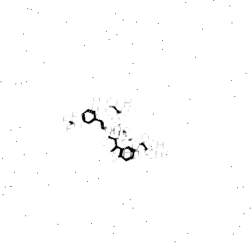 CC(C)(C)C(=O)OCOP(=O)(OCOC(=O)C(C)(C)C)C(C(=O)N/C=C/c1cccc(OC(F)(F)F)c1)c1csc2ccc(Cl)cc12